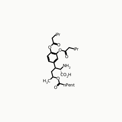 CCCCCC(=O)OC(C)CC(c1ccc(OC(=O)CC(C)C)c(OC(=O)CC(C)C)c1)[C@H](N)C(=O)O